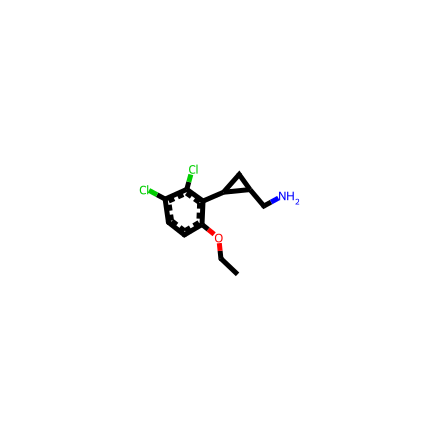 CCOc1ccc(Cl)c(Cl)c1C1CC1CN